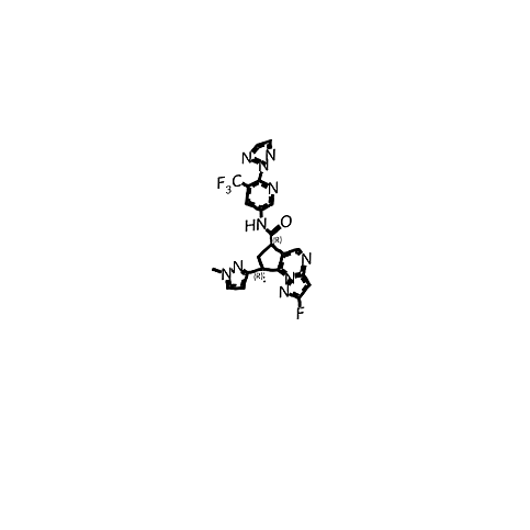 Cn1ccc([C@@]2(C)C[C@@H](C(=O)Nc3cnc(-n4nccn4)c(C(F)(F)F)c3)c3cnc4cc(F)nn4c32)n1